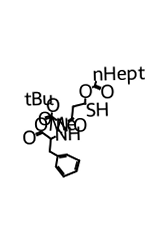 CCCCCCCC(=O)OC(S)CC(=O)N(NC(Cc1ccccc1)C(=O)OC)C(=O)OC(C)(C)C